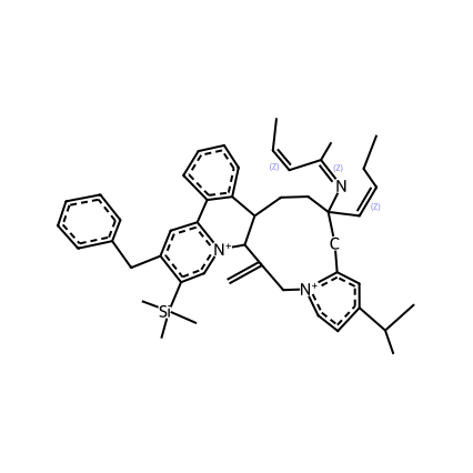 C=C1C[n+]2ccc(C(C)C)cc2CC(/C=C\CC)(/N=C(C)\C=C/C)CCC2c3ccccc3-c3cc(Cc4ccccc4)c([Si](C)(C)C)c[n+]3C12